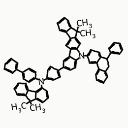 CC1(C)c2ccccc2-c2cc3c4cc(-c5ccc(N(c6ccc(-c7ccccc7)cc6)c6cccc7c6-c6ccccc6C7(C)C)cc5)ccc4n(-c4ccc5c(c4)-c4ccccc4CC5c4ccccc4)c3cc21